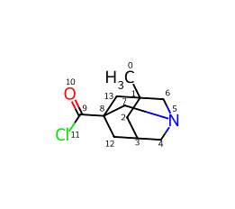 CC12CC3CN(C1)CC(C(=O)Cl)(C3)C2